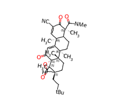 CNC(=O)[C@]1(C)C(=O)C(C#N)=C[C@]2(C)C3=CC(=O)[C@@]45OC(=O)[C@@](CCC(C)(C)C)(CC[C@@]4(C)[C@]3(C)CCC12)[C@@H]5C